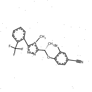 C[C@H](Oc1ccc(C#N)cc1Br)c1nnc(-c2ccccc2C(F)(F)F)n1C